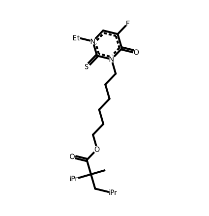 CCn1cc(F)c(=O)n(CCCCCCOC(=O)C(C)(CC(C)C)C(C)C)c1=S